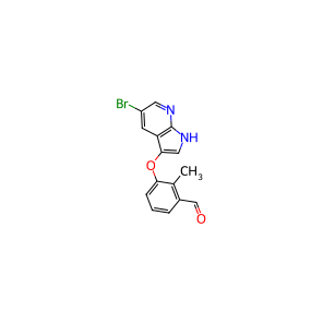 Cc1c(C=O)cccc1Oc1c[nH]c2ncc(Br)cc12